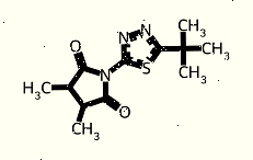 CC1C(=O)N(c2nnc(C(C)(C)C)s2)C(=O)C1C